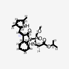 COCP(=O)(N[C@@H](C)C(=O)OC(C)C)N1C(=O)/C(=C\c2[nH]c(C)cc2C)c2ccccc21